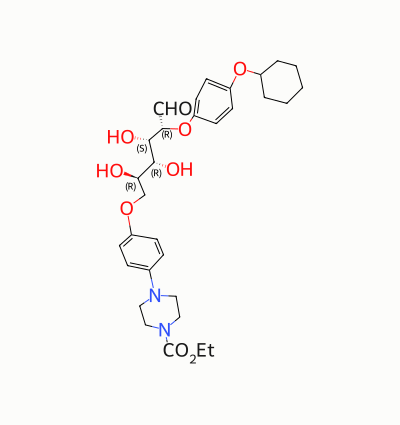 CCOC(=O)N1CCN(c2ccc(OC[C@@H](O)[C@@H](O)[C@H](O)[C@H](C=O)Oc3ccc(OC4CCCCC4)cc3)cc2)CC1